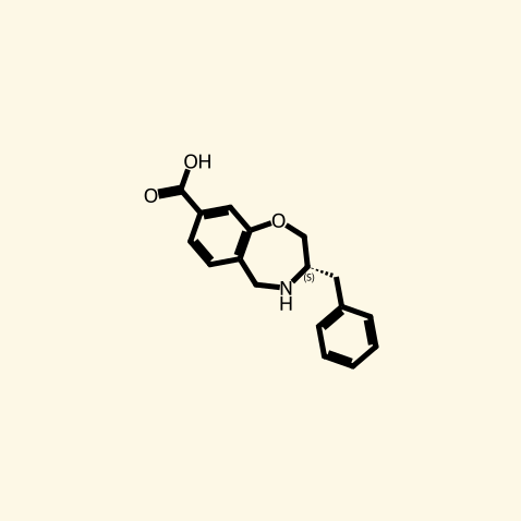 O=C(O)c1ccc2c(c1)OC[C@H](Cc1ccccc1)NC2